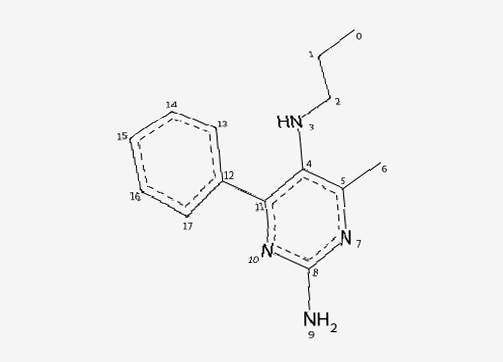 CCCNc1c(C)nc(N)nc1-c1ccccc1